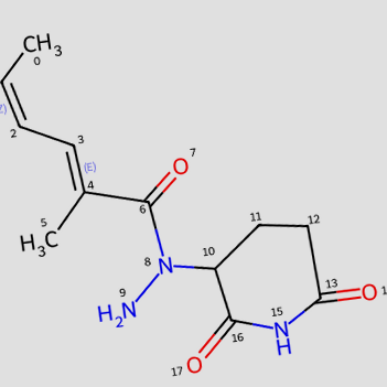 C/C=C\C=C(/C)C(=O)N(N)C1CCC(=O)NC1=O